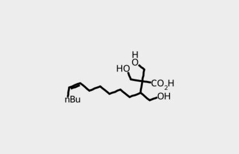 CCCC/C=C\CCCCCC(CO)C(CO)(CO)C(=O)O